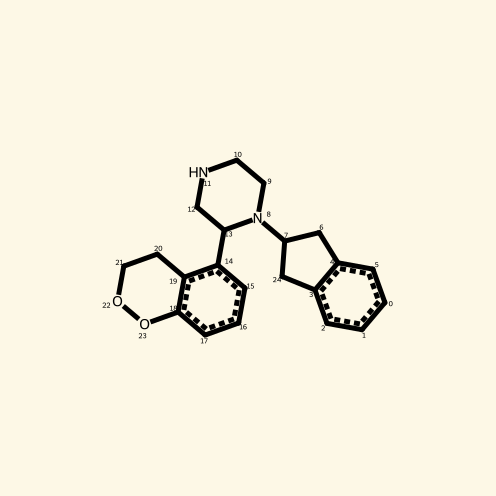 c1ccc2c(c1)CC(N1CCNCC1c1cccc3c1CCOO3)C2